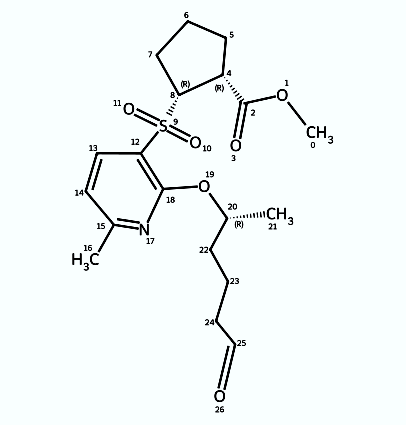 COC(=O)[C@H]1CCC[C@H]1S(=O)(=O)c1ccc(C)nc1O[C@H](C)CCCC=O